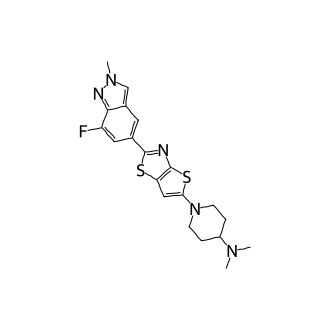 CN(C)C1CCN(c2cc3sc(-c4cc(F)c5nn(C)cc5c4)nc3s2)CC1